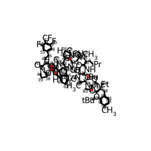 CC[C@H](C)[C@H](NC(=O)[C@H](CC(C)C)N(C)C(=O)C[C@@H](C(=O)N(C)C)N(C)C(=O)[C@H](C1CCCC1)N(C)C(=O)C1(NC(=O)[C@@H]2CCCN2C(=O)[C@H](CCc2cc(F)c(C(F)(F)F)c(F)c2)NC(=O)OCc2ccccc2)CCCC1)C(=O)N(C)[C@@H](C)C(=O)N1CC[C@H]1C(=O)N(CC)[C@@H](Cc1ccc(C)cc1)C(=O)OC(C)(C)C